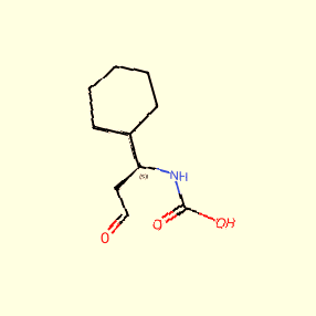 O=CC[C@H](NC(=O)O)C1CCCCC1